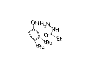 CC(C)(C)c1ccc(O)cc1C(C)(C)C.CCC(=O)NN